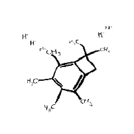 Cc1c(C)c(C)c2c(c1C)CC2(C)C.[H-].[H-].[H-].[H-].[Ir+4]